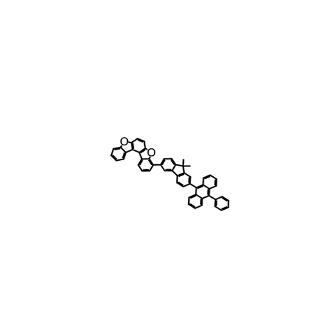 CC1(C)c2ccc(-c3cccc4c3oc3ccc5oc6ccccc6c5c34)cc2-c2ccc(-c3c4ccccc4c(-c4ccccc4)c4ccccc34)cc21